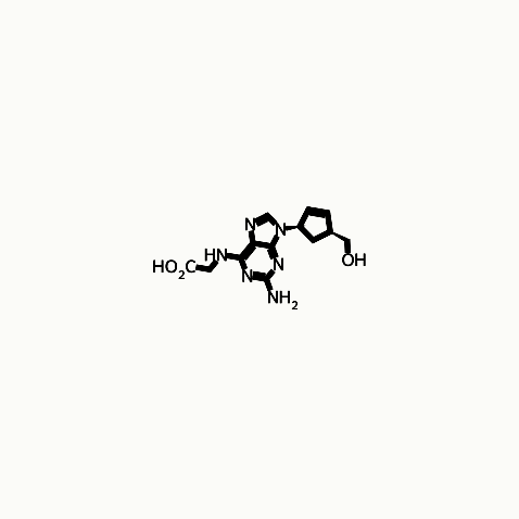 Nc1nc(NCC(=O)O)c2ncn([C@H]3C=C[C@@H](CO)C3)c2n1